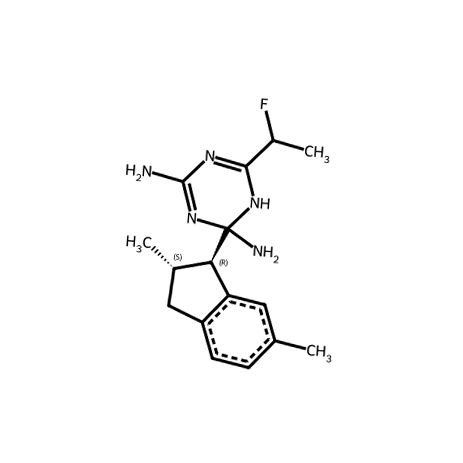 Cc1ccc2c(c1)[C@H](C1(N)N=C(N)N=C(C(C)F)N1)[C@@H](C)C2